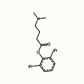 CC(C)c1cccc(C(C)C)c1OC(=O)CCCN(C)C